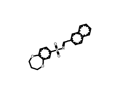 O=S(=O)(/N=C/c1ccc2ccccc2c1)c1ccc2c(c1)OCCCO2